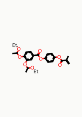 C=C(C)C(=O)Oc1ccc(OC(=O)c2ccc(OC(C)OCC)c(OC(C)OCC)c2)cc1